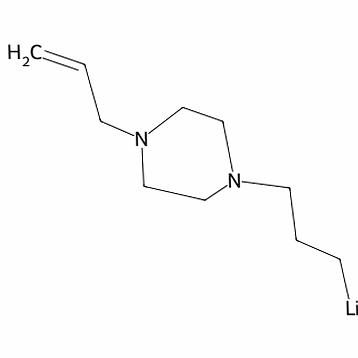 [Li][CH2]CCN1CCN(CC=C)CC1